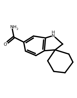 NC(=O)c1ccc2c(c1)NCC21CCCCC1